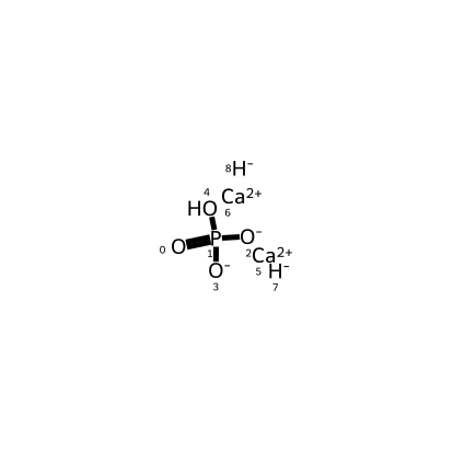 O=P([O-])([O-])O.[Ca+2].[Ca+2].[H-].[H-]